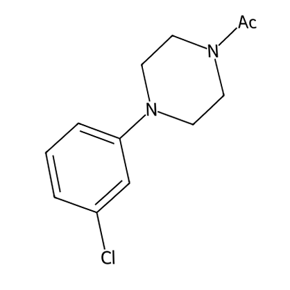 CC(=O)N1CCN(c2cccc(Cl)c2)CC1